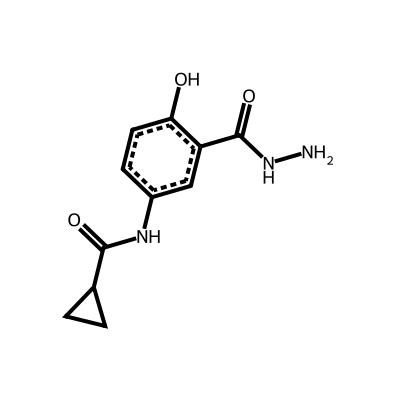 NNC(=O)c1cc(NC(=O)C2CC2)ccc1O